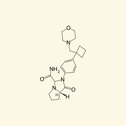 NC(=O)C1N(c2ccc(C3(CN4CCOCC4)CCC3)cc2)C(=O)[C@@H]2[CH]CCN12